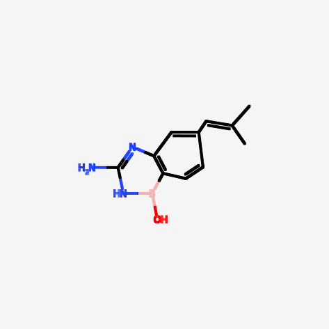 CC(C)=Cc1ccc2c(c1)N=C(N)NB2O